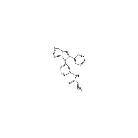 C=CC(=O)Nc1cccc(N2C(c3ccccc3)=NC3CN=CN=C32)c1